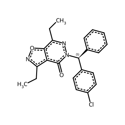 CCc1nn([C@@H](c2ccccc2)c2ccc(Cl)cc2)c(=O)c2c(CC)noc12